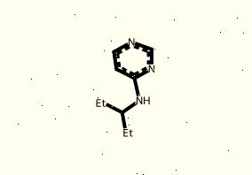 CCC(CC)Nc1ccn[c]n1